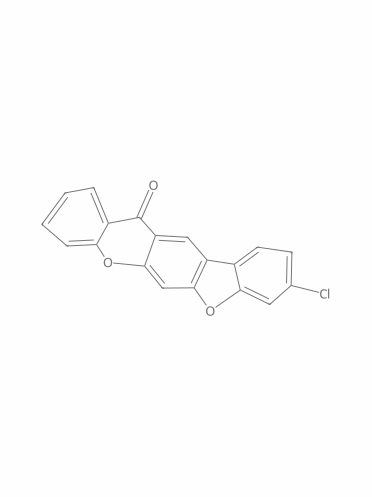 O=c1c2ccccc2oc2cc3oc4cc(Cl)ccc4c3cc12